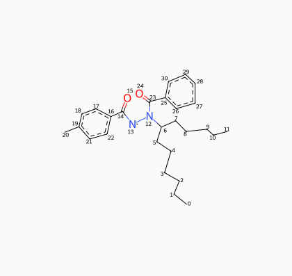 CCCCCCC(CCCCC)N([N]C(=O)c1ccc(C)cc1)C(=O)c1ccccc1